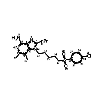 CCCc1nc2c(N)nc(C)c(C)c2n1CCCCCS(=O)(=O)c1ccc(Cl)cc1